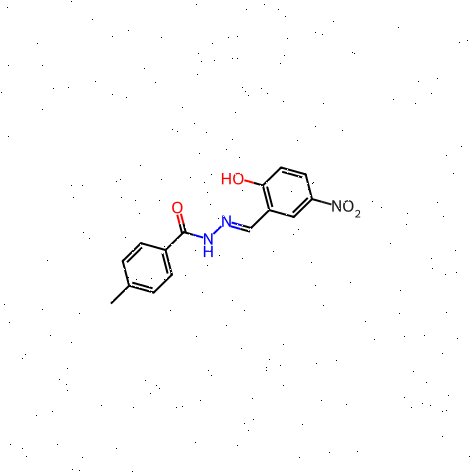 Cc1ccc(C(=O)N/N=C/c2cc([N+](=O)[O-])ccc2O)cc1